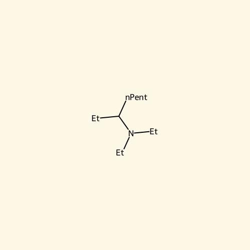 [CH2]CCCCC(CC)N(CC)CC